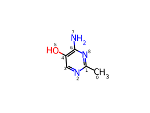 Cc1ncc(O)c(N)n1